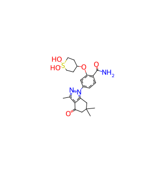 Cc1nn(-c2ccc(C(N)=O)c(OC3CCS(O)(O)CC3)c2)c2c1C(=O)CC(C)(C)C2